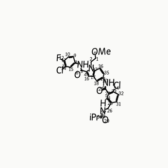 COCCn1c(C(=O)Nc2ccc(F)c(Cl)c2)cc2cc(NC(=O)c3cc(CNC(=O)C(C)C)ccc3Cl)ccc21